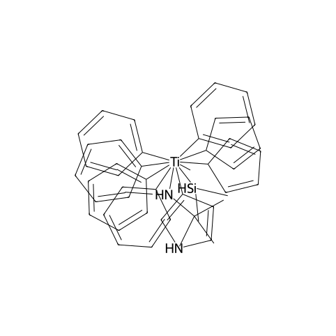 C[SiH](C)[Ti]([CH3])([NH]C(C)(C)C)([c]1ccccc1)([c]1ccccc1)([c]1ccccc1)([c]1ccccc1)([c]1ccccc1)([c]1cc[nH]c1)([CH]1C=CC=C1)[CH]1C=CC=C1